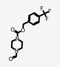 O=CN1CCN(C(=O)OCc2ccc(C(F)(F)F)cc2)CC1